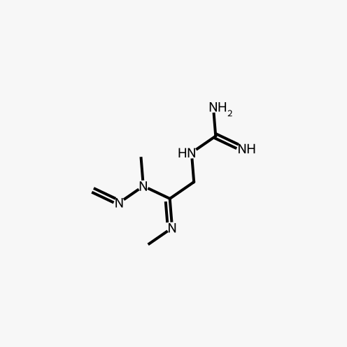 C=NN(C)/C(CNC(=N)N)=N\C